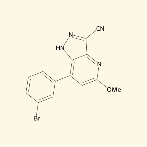 COc1cc(-c2cccc(Br)c2)c2[nH]nc(C#N)c2n1